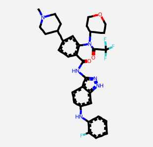 CN1CCC(c2ccc(C(=O)Nc3n[nH]c4cc(Nc5ccccc5F)ccc34)c(N(C(=O)C(F)(F)F)C3CCOCC3)c2)CC1